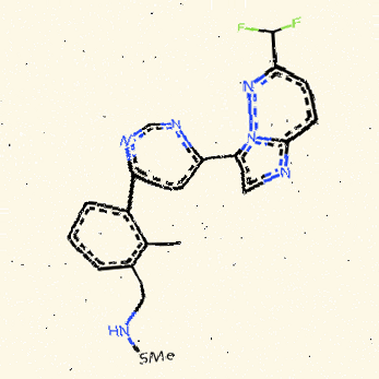 CSNCc1cccc(-c2cc(-c3cnc4ccc(C(F)F)nn34)ncn2)c1C